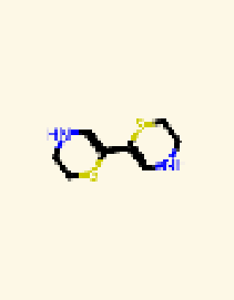 C1=C(C2=CNCCS2)SCCN1